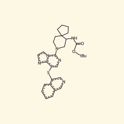 CC(C)(C)OC(=O)NC1CN(c2ncc(Sc3cncc4ccccc34)c3nccn23)CCC12CCCC2